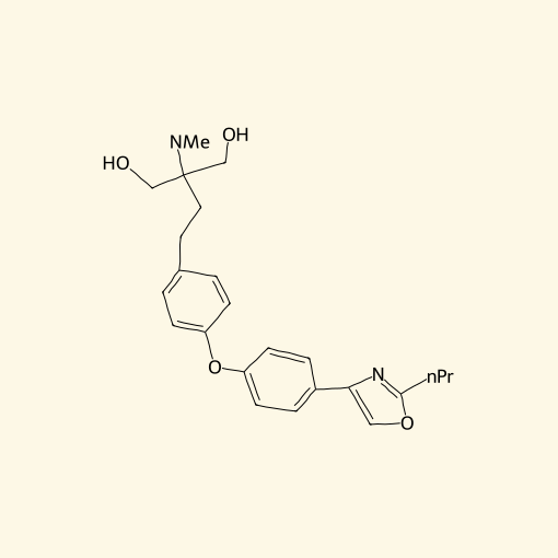 CCCc1nc(-c2ccc(Oc3ccc(CCC(CO)(CO)NC)cc3)cc2)co1